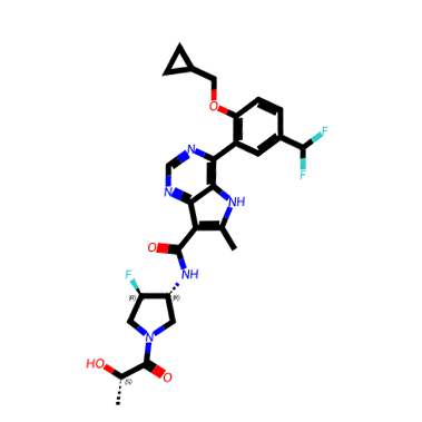 Cc1[nH]c2c(-c3cc(C(F)F)ccc3OCC3CC3)ncnc2c1C(=O)N[C@@H]1CN(C(=O)[C@H](C)O)C[C@H]1F